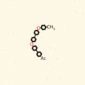 CC(=O)c1ccc(-c2ccc(Oc3ccc(-c4ccc(Oc5ccc(C)cc5)cc4)cc3)cc2)cc1